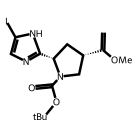 C=C(OC)[C@H]1C[C@@H](c2ncc(I)[nH]2)N(C(=O)OC(C)(C)C)C1